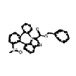 C[S+]([O-])c1cccc2c1-c1cccc3nc(C(=O)OCc4ccccc4)n(c13)-c1ccccc1-2